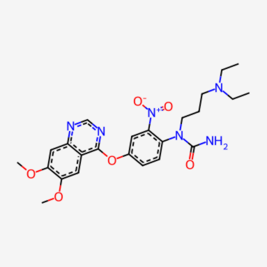 CCN(CC)CCCN(C(N)=O)c1ccc(Oc2ncnc3cc(OC)c(OC)cc23)cc1[N+](=O)[O-]